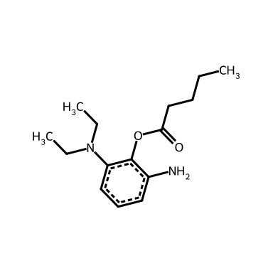 CCCCC(=O)Oc1c(N)cccc1N(CC)CC